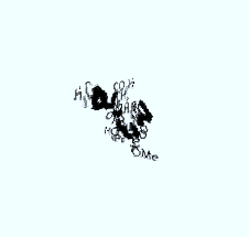 CCC(C)C(NC(=O)C1CCCCN1C)C(=O)N(CCOC)C(CC(O)c1nc(C(=O)NC(Cc2ccc(C)cc2)CC(C)C(=O)O)cs1)C(C)C